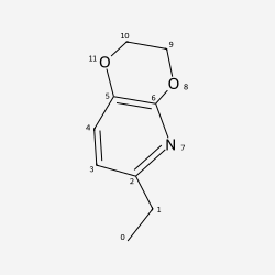 CCc1ccc2c(n1)OCCO2